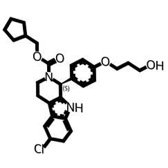 O=C(OCC1CCCC1)N1CCc2c([nH]c3c2=CC(Cl)CC=3)[C@@H]1c1ccc(OCCCO)cc1